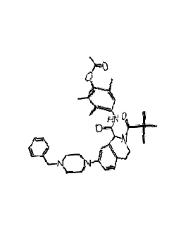 CC(=O)Oc1c(C)cc(NC(=O)C2c3cc(N4CCN(Cc5ccccc5)CC4)ccc3CCN2C(=O)C(C)(C)C)c(C)c1C